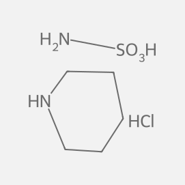 C1CCNCC1.Cl.NS(=O)(=O)O